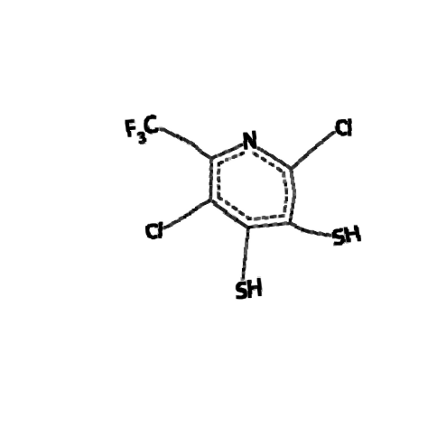 FC(F)(F)c1nc(Cl)c(S)c(S)c1Cl